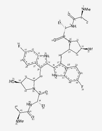 CC[C@H](NC(=O)[C@H](C)NC)C(=O)N1C[C@@H](O)CC1Cc1c(-c2[nH]c3cc(F)ccc3c2CC2C[C@H](O)CN2C(=O)[C@H](CC)NC(=O)[C@H](C)NC)[nH]c2cc(F)ccc12